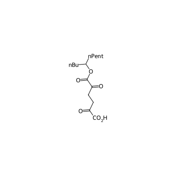 CCCCCC(CCCC)OC(=O)C(=O)CCC(=O)C(=O)O